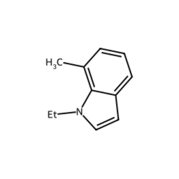 CCn1ccc2cccc(C)c21